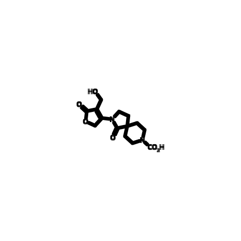 O=C1OCC(N2CCC3(CCN(C(=O)O)CC3)C2=O)=C1CO